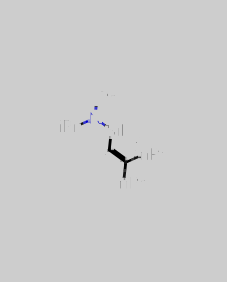 CCCC(=C[SiH2]N(C(C)C)C(C)C)CCC